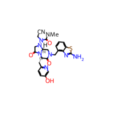 CNC(=O)N(CC#N)N1CC(=O)N2[C@@H](Cc3ccc(O)cn3)C(=O)N(Cc3cccc4sc(N)nc34)C[C@@H]21